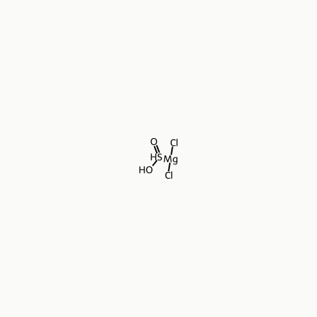 O=[SH]O.[Cl][Mg][Cl]